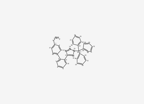 NCc1ccc(-c2ccccc2-c2nnn(C(c3ccccc3)(c3ccccc3)c3ccccc3)n2)cc1